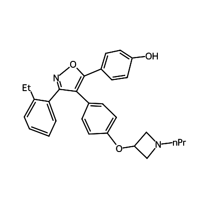 CCCN1CC(Oc2ccc(-c3c(-c4ccccc4CC)noc3-c3ccc(O)cc3)cc2)C1